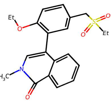 CCOc1ccc(CS(=O)(=O)CC)cc1-c1cn(C)c(=O)c2ccccc12